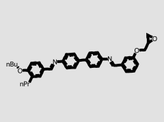 CCCCOc1ccc(/C=N/c2ccc(-c3ccc(N=Cc4cccc(OCC5CO5)c4)cc3)cc2)cc1CCC